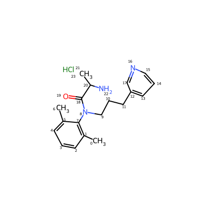 Cc1cccc(C)c1N(CCCc1cccnc1)C(=O)C(C)N.Cl